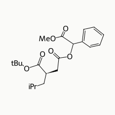 COC(=O)C(OC(=O)C[C@@H](CC(C)C)C(=O)OC(C)(C)C)c1ccccc1